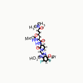 COC(=O)NC(CCC=CC(=O)N(C)C)C(=O)Nc1cccn(Cc2nc3c(OC(C)C)c(F)cc(F)c3n2C(=O)O)c1=O